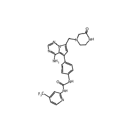 Nc1ncnn2c(CN3CCNC(=O)C3)cc(-c3ccc(NC(=O)Nc4cc(C(F)(F)F)ccn4)cc3)c12